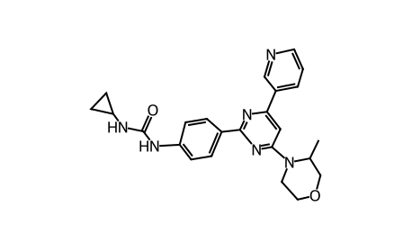 CC1COCCN1c1cc(-c2cccnc2)nc(-c2ccc(NC(=O)NC3CC3)cc2)n1